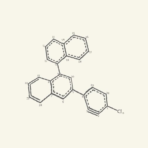 Clc1c#cc(-c2cc3c(c(-c4cccc5ccccc45)c2)C=C=C=C3)cc1